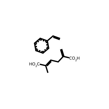 C=C(CC=C(C)C(=O)O)C(=O)O.C=Cc1ccccc1